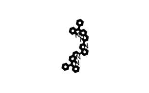 c1ccc(-c2c3ccccc3nc3c2ccc2ccc(-c4ccc5c(-c6ccc7ccc8c(-c9ccccc9)c9ccccc9nc8c7n6)cccc5n4)nc23)cc1